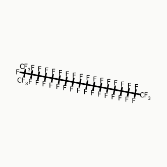 FC(F)(F)C(F)(F)C(F)(F)C(F)(F)C(F)(F)C(F)(F)C(F)(F)C(F)(F)C(F)(F)C(F)(F)C(F)(F)C(F)(F)C(F)(F)C(F)(F)C(F)(F)C(F)(F)C(F)(F)C(F)(C(F)(F)F)C(F)(F)F